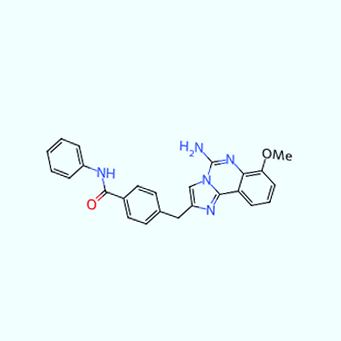 COc1cccc2c1nc(N)n1cc(Cc3ccc(C(=O)Nc4ccccc4)cc3)nc21